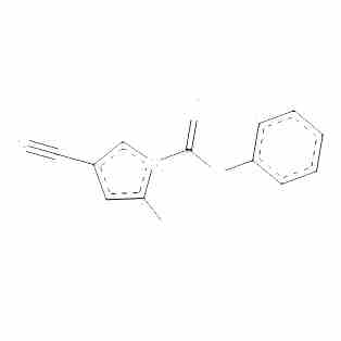 N#Cc1cc(Br)n(C(=O)Oc2ccccc2)c1